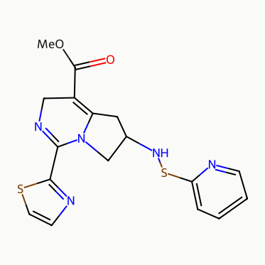 COC(=O)C1=C2CC(NSc3ccccn3)CN2C(c2nccs2)=NC1